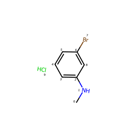 CNc1cccc(Br)c1.Cl